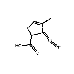 CC1=CSC(C(=O)O)C1=[N+]=[N-]